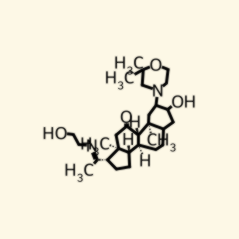 CC(=NCCO)[C@H]1CC[C@H]2[C@@H]3CCC4CC(O)C(N5CCOC(C)(C)C5)C[C@]4(C)[C@H]3C(=O)C[C@]12C